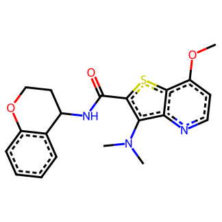 COc1ccnc2c(N(C)C)c(C(=O)NC3CCOc4ccccc43)sc12